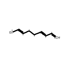 [CH]=CC=CCCC=CCC